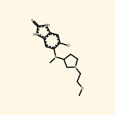 COCCN1CCC(N(C)c2cc3[nH]c(=S)[nH]c3cc2Cl)C1